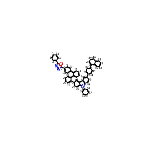 c1ccc(-c2nnc(-c3ccc(-c4ccccc4-c4ccccc4-c4ccc5c(c4)c4cc(-c6ccc(-c7cccc8ccccc78)cc6)ccc4n5-c4ccccc4)cc3)o2)cc1